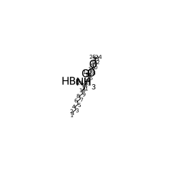 Br.CCCCCCCCCCCCCCCC(=O)OCCOCC(C)C.N